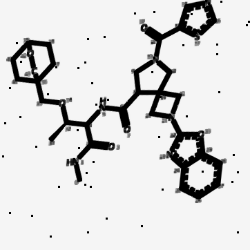 CNC(=O)C(NC(=O)C1CN(C(=O)c2cncs2)CC12CN(c1nc3ccccc3o1)C2)[C@@H](C)OCC12CCC(CC1)OC2